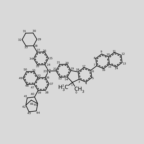 CC1(C)c2ccc(-c3ccc4ccccc4c3)cc2-c2ccc(N(c3ccc(C4CCCCC4)cc3)c3ccc(C4CC5CCC4C5)c4ccccc34)cc21